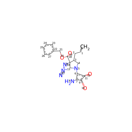 C=CCC1CN(c2c(N)c(=O)c2=O)CC1(N=[N+]=[N-])C(=O)OCc1ccccc1